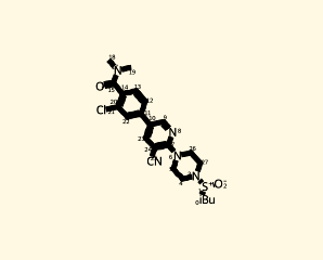 CCC(C)[S+]([O-])N1CCN(c2ncc(-c3ccc(C(=O)N(C)C)c(Cl)c3)cc2C#N)CC1